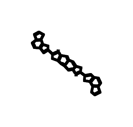 C1=Cc2ccc3c(c2C1)CC(C1=Nc2cc4cc5c(cc4cc2C1)N=C(C1=Cc2ccc4c(c2C1)CC=C4)C5)=C3